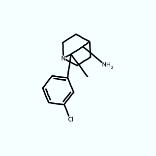 CC1(c2cccc(Cl)c2)C(N)C2CCN1CC2